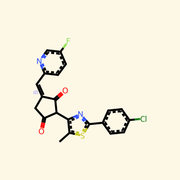 Cc1sc(-c2ccc(Cl)cc2)nc1C1C(=O)C/C(=C/c2ccc(F)cn2)C1=O